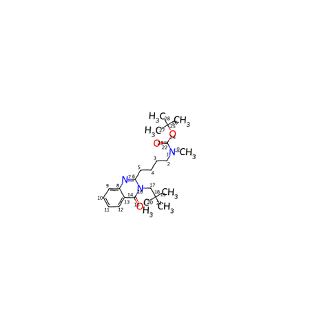 CN(CCCCc1nc2ccccc2c(=O)n1CC(C)(C)C)C(=O)OC(C)(C)C